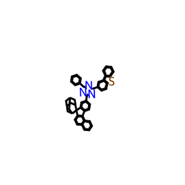 c1ccc(-c2nc(-c3ccc4c(c3)C3(c5ccc6ccccc6c5-4)C4CC5CC(C4)CC3C5)nc(-c3ccc4sc5ccccc5c4c3)n2)cc1